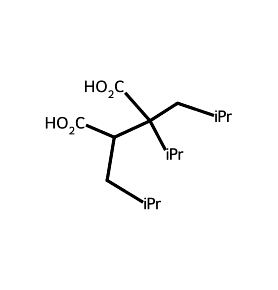 CC(C)CC(C(=O)O)C(CC(C)C)(C(=O)O)C(C)C